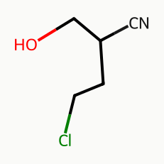 N#CC(CO)CCCl